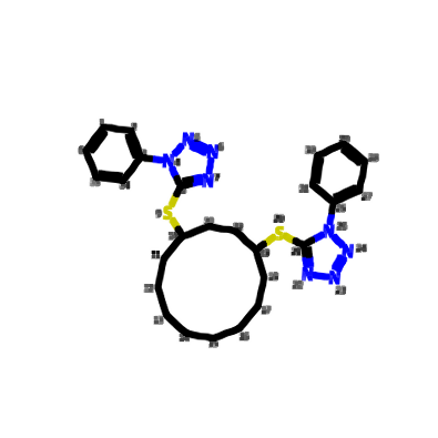 c1ccc(-n2nnnc2SC2CCCCCCCCC(Sc3nnnn3-c3ccccc3)CC2)cc1